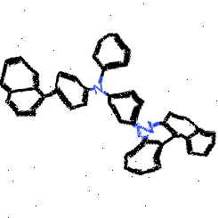 c1ccc(N(c2ccc(-c3cccc4ccccc34)cc2)c2ccc(-n3c4ccccc4c4c5ccccc5ccc43)cc2)cc1